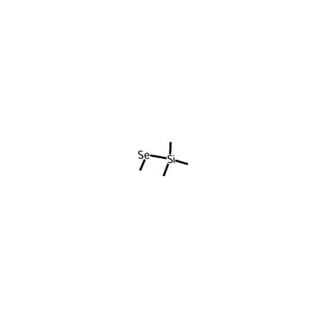 C[Se][Si](C)(C)C